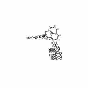 C.C.C.C.C.C.C1=Cc2cccc3cccc(c23)C1.N=C=O.N=C=O.N=C=O.N=C=O.N=C=O.N=C=O